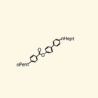 CCCCCCCc1ccc(-c2ccc(OC(=O)c3ccc(CCCCC)cc3)cc2)cc1